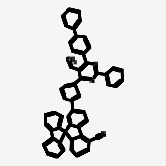 C=Cc1c(-c2ccc(-c3ccccc3)cc2)nc(-c2ccccc2)nc1-c1cccc(-c2ccc3c(c2)C2(c4ccccc4-c4ccccc42)c2cccc(C#N)c2-3)c1